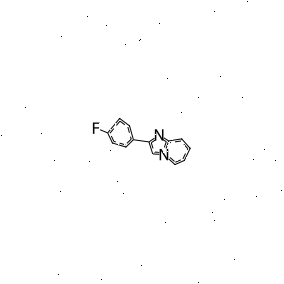 Fc1ccc(-c2cn3ccccc3n2)cc1